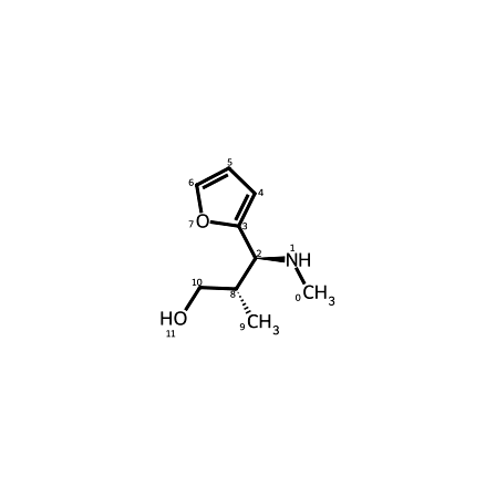 CN[C@H](c1ccco1)[C@H](C)CO